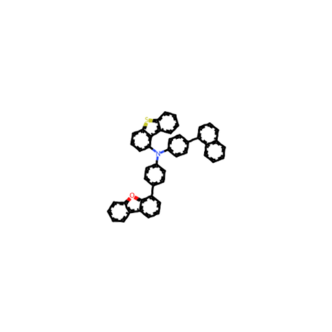 c1ccc2c(-c3ccc(N(c4ccc(-c5cccc6c5oc5ccccc56)cc4)c4cccc5sc6ccccc6c45)cc3)cccc2c1